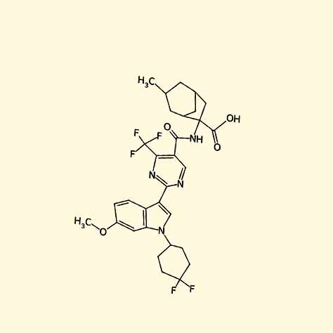 COc1ccc2c(-c3ncc(C(=O)NC4(C(=O)O)CC5CC(C)CC4C5)c(C(F)(F)F)n3)cn(C3CCC(F)(F)CC3)c2c1